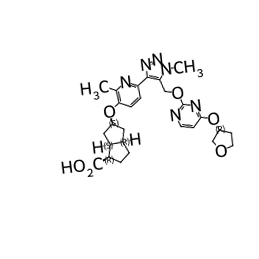 Cc1nc(-c2nnn(C)c2COc2nccc(O[C@@H]3CCOC3)n2)ccc1O[C@H]1C[C@H]2CC[C@@H](C(=O)O)[C@H]2C1